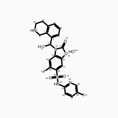 CC(c1cccc2c1CNCC2)n1c(=O)oc2cc(S(=O)(=O)Nc3ccc(F)cn3)c(F)cc21.Cl